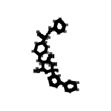 CC1(c2cccc(-c3cccnc3)c2)CC(O)N(CC2CCN(C(=O)COc3ccccc3)CC2)C(=N)N1